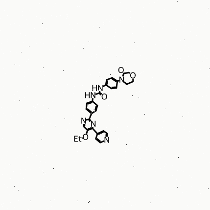 CCOc1cnc(-c2ccc(NC(=O)Nc3ccc(N4CCOCC4=O)cc3)cc2)nc1-c1ccncc1